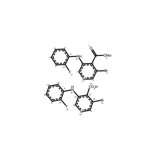 COC(=O)c1c(Br)cncc1Nc1ccccc1F.O=C(O)c1c(Br)cncc1Nc1ccccc1F